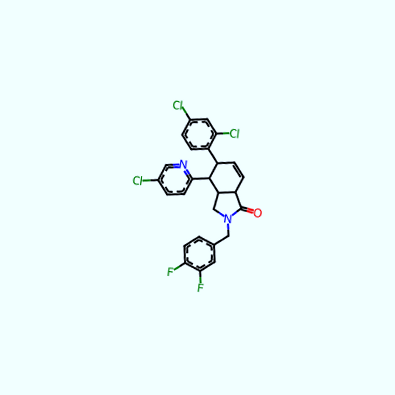 O=C1C2C=CC(c3ccc(Cl)cc3Cl)C(c3ccc(Cl)cn3)C2CN1Cc1ccc(F)c(F)c1